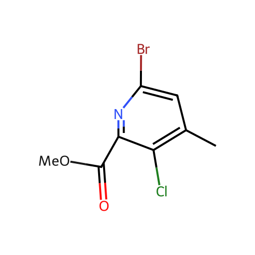 COC(=O)c1nc(Br)cc(C)c1Cl